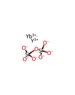 [O-][Si]([O-])([O-])O[Si]([O-])([O-])[O-].[Y+3].[Yb+3]